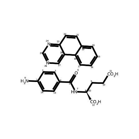 Nc1ccc(C(=O)N[C@@H](CCC(=O)O)C(=O)O)cc1.c1ccc2c(c1)ccc1ncncc12